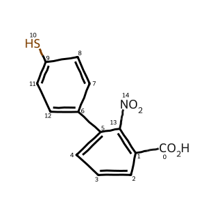 O=C(O)c1cccc(-c2ccc(S)cc2)c1[N+](=O)[O-]